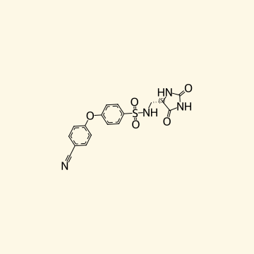 N#Cc1ccc(Oc2ccc(S(=O)(=O)NC[C@@H]3NC(=O)NC3=O)cc2)cc1